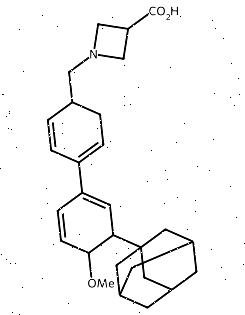 COC1C=CC(C2=CCC(CN3CC(C(=O)O)C3)C=C2)=CC1C12CC3CC(CC(C3)C1)C2